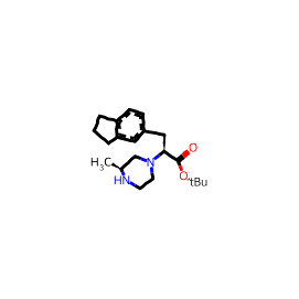 C[C@H]1CN([C@@H](Cc2ccc3c(c2)CCC3)C(=O)OC(C)(C)C)CCN1